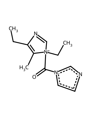 CCC1=C(C)[N+](CC)(C(=O)n2ccnc2)C=N1